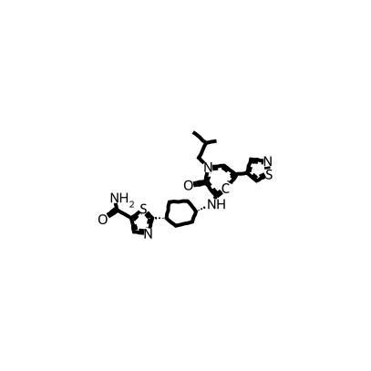 CC(C)Cn1cc(-c2cnsc2)cc(N[C@H]2CC[C@@H](c3ncc(C(N)=O)s3)CC2)c1=O